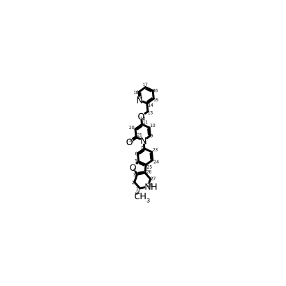 C[C@@H]1Cc2oc3cc(-n4ccc(OCc5ccccn5)cc4=O)ccc3c2CN1